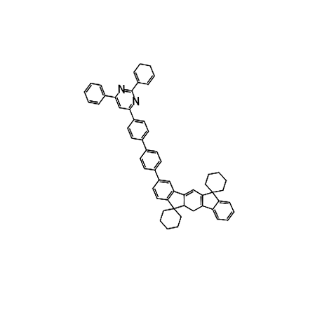 C1=CC(c2nc(-c3ccccc3)cc(-c3ccc(-c4ccc(-c5ccc6c(c5)C5=CC7=C(CC5C65CCCCC5)c5ccccc5C75CCCCC5)cc4)cc3)n2)=CCC1